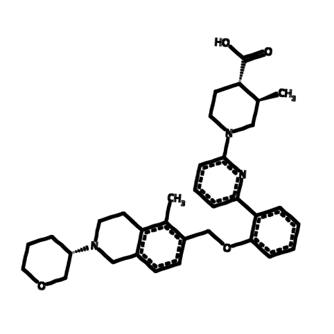 Cc1c(COc2ccccc2-c2cccc(N3CC[C@H](C(=O)O)[C@@H](C)C3)n2)ccc2c1CCN([C@H]1CCCOC1)C2